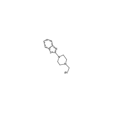 C[C](C)CN1CCN(c2nc3ccccc3s2)CC1